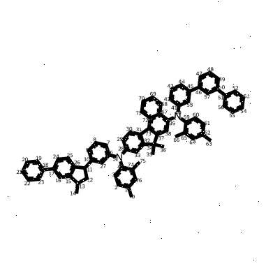 Cc1ccc(N(c2cccc(C3CC(C)c4cc(-c5ccccc5)ccc43)c2)c2ccc3c(c2)C(C)(C)c2cc(N(c4cccc(-c5cccc(-c6ccccc6)c5)c4)c4ccc(C)cc4C)c4ccccc4c2-3)c(C)c1